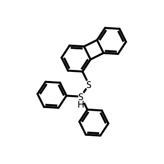 c1ccc([SH](Sc2cccc3c2-c2ccccc2-3)c2ccccc2)cc1